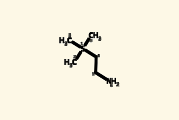 CS(C)(C)CCN